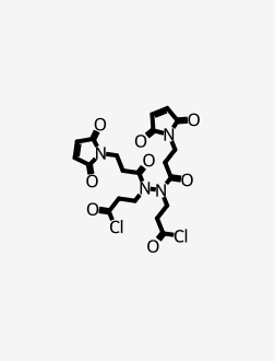 O=C(Cl)CCN(C(=O)CCN1C(=O)C=CC1=O)N(CCC(=O)Cl)C(=O)CCN1C(=O)C=CC1=O